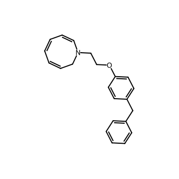 C1=CC=CN(CCOc2ccc(Cc3ccccc3)cc2)CC=C1